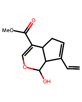 C=CC1=CCC2C(C(=O)OC)=COC(O)C12